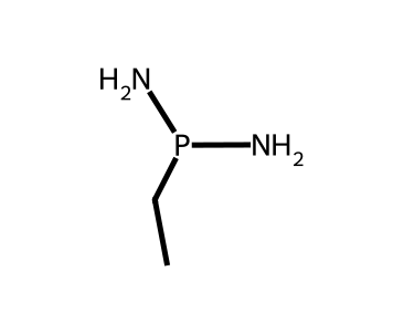 CCP(N)N